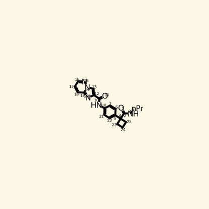 CCCNC(=O)C1(c2ccc(NC(=O)c3cn4ncccc4n3)cc2)CCC1